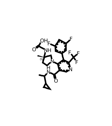 CC(NC(=O)c1cnc(C(F)(F)F)c(-c2cc(F)cc(F)c2)c1N1CC[C@](C)(NC(=O)O)C1)C1CC1